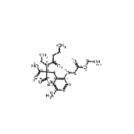 CCCC(=O)N(CC)C(Cc1cc(N)ccc1OCC(=O)OCC)(C(=O)O)C(=O)O